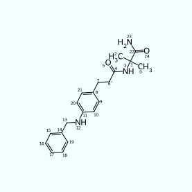 CC(C)(NC(=O)[CH]Cc1ccc(NCc2ccccc2)cc1)C(N)=O